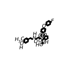 Cc1cc(CCNC(=O)CCN(C2(C(=O)NO)CCCC2)S(=O)(=O)c2ccc(Oc3ccc(F)cc3)cc2)ccc1O